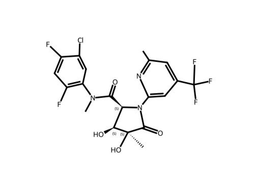 Cc1cc(C(F)(F)F)cc(N2C(=O)[C@@](C)(O)[C@@H](O)[C@H]2C(=O)N(C)c2cc(Cl)c(F)cc2F)n1